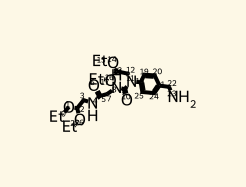 CCOC(CNC(=O)CNC(=O)N(CC(OCC)OCC)c1ccc(CN)cc1)OCC